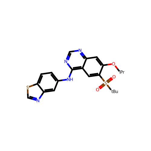 CC(C)Oc1cc2ncnc(Nc3ccc4scnc4c3)c2cc1S(=O)(=O)C(C)(C)C